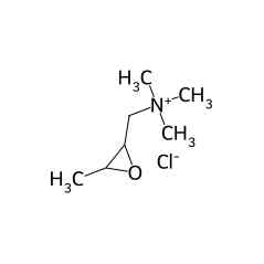 CC1OC1C[N+](C)(C)C.[Cl-]